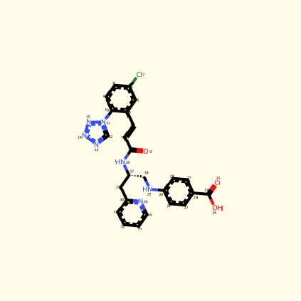 O=C(/C=C/c1cc(Cl)ccc1-n1cnnn1)N[C@H](CNc1ccc(C(=O)O)cc1)Cc1ccccn1